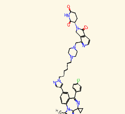 Cc1nnc2n1-c1ccc(-c3cnn(CCCCCCN4CCN(Cc5nccc6c5CN(C5CCC(=O)NC5=O)C6=O)CC4)c3)cc1C(c1ccc(Cl)cc1)=NC21CC1